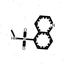 CNS(=O)(=O)c1cccc2ncccc12